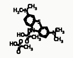 CN(C)c1ccc2c(c1)Sc1cc(N(C)C)ccc1N2.CS(=O)(=O)O.CS(=O)(=O)O